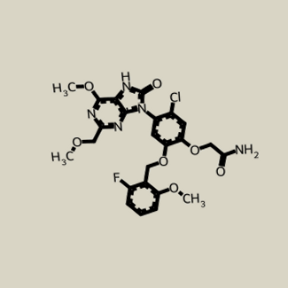 COCc1nc(OC)c2[nH]c(=O)n(-c3cc(OCc4c(F)cccc4OC)c(OCC(N)=O)cc3Cl)c2n1